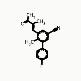 CC(=O)/C(C)=C/c1cc(C#N)cc(-c2ccc(F)cc2)c1C